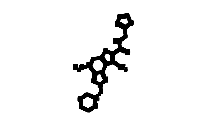 C[C@H]1Cc2oc(C(=O)NCc3ncco3)c(C(F)(F)F)c2-c2nn(C[C@H]3COCCO3)cc21